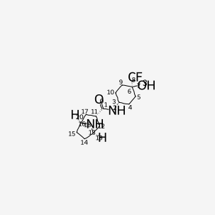 O=C(N[C@H]1CC[C@@](O)(C(F)(F)F)CC1)[C@@H]1C[C@H]2CC[C@@H](C1)N2